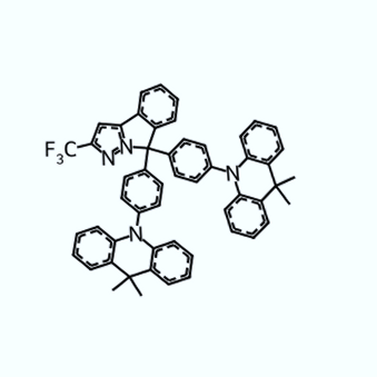 CC1(C)c2ccccc2N(c2ccc(C3(c4ccc(N5c6ccccc6C(C)(C)c6ccccc65)cc4)c4ccccc4-c4cc(C(F)(F)F)nn43)cc2)c2ccccc21